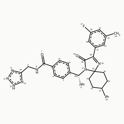 CCC[C@H](c1ccc(C(=O)NCc2nn[nH]n2)cc1)N1C(=O)C(c2cc(C)cc(F)c2)=NC12CCC(C(C)C)CC2